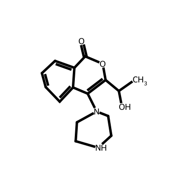 CC(O)c1oc(=O)c2ccccc2c1N1CCNCC1